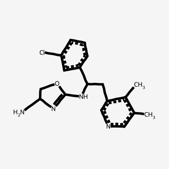 Cc1cncc(CC(NC2=NC(N)CO2)c2cccc(Cl)c2)c1C